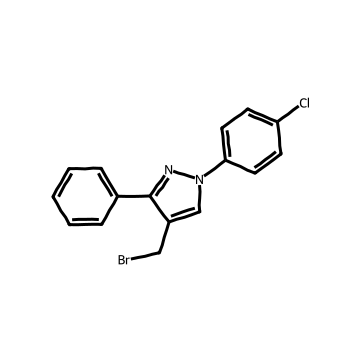 Clc1ccc(-n2cc(CBr)c(-c3ccccc3)n2)cc1